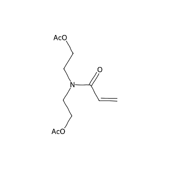 C=CC(=O)N(CCOC(C)=O)CCOC(C)=O